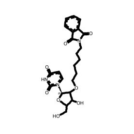 O=C1c2ccccc2C(=O)N1CCCCCCOC1C(O)C(CO)O[C@H]1n1ccc(=O)[nH]c1=O